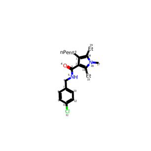 CCCCCc1c(C(=O)NCc2ccc(Cl)cc2)c(CC)n(C)c1CC